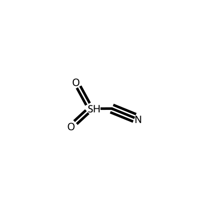 N#C[SH](=O)=O